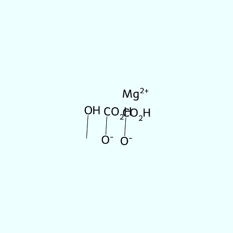 CO.O=C([O-])O.O=C([O-])O.[Mg+2]